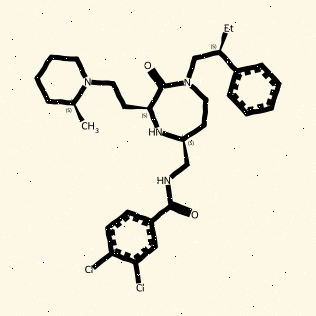 CC[C@H](CN1CC[C@@H](CNC(=O)c2ccc(Cl)c(Cl)c2)N[C@@H](CCN2CCCC[C@@H]2C)C1=O)c1ccccc1